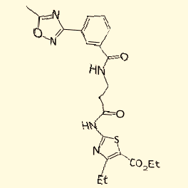 CCOC(=O)c1sc(NC(=O)CCNC(=O)c2cccc(-c3noc(C)n3)c2)nc1CC